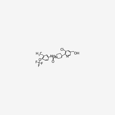 Cc1cc(NC(=O)N2CC=C(c3ncc(CO)cc3Cl)CC2)ccc1OC(F)(F)F